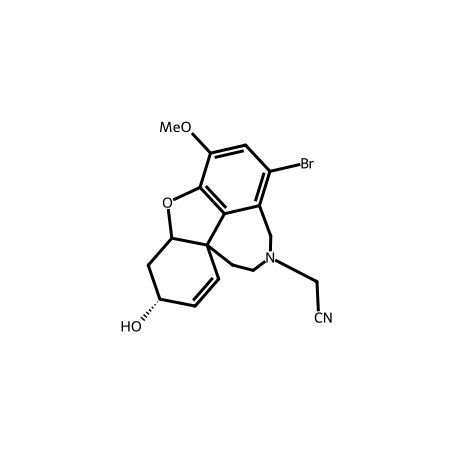 COc1cc(Br)c2c3c1OC1C[C@@H](O)C=CC31CCN(CC#N)C2